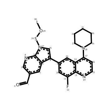 O=Cc1cnc2c(c1)c(-c1cc(F)c3nccc(N4CCCCC4)c3c1)cn2SOI